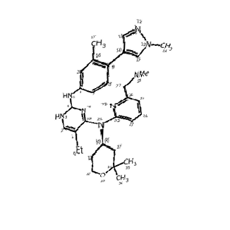 CCC1=CNC(Nc2ccc(-c3cnn(C)c3)c(C)c2)N=C1N(c1cccc(CNC)n1)[C@@H]1CCOC(C)(C)C1